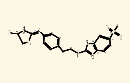 CC[C@@H]1CS/C(=N\c2ccc(CCNc3nc4ccc(S(C)(=O)=O)cc4s3)cc2)N1